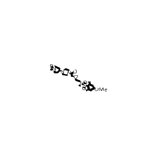 COc1cc(C)c(S(=O)(=O)N(C)CCOCC(=O)N2CCN(C3CC[N+](C)([O-])CC3)CC2)c(C)c1